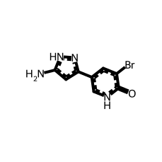 Nc1cc(-c2c[nH]c(=O)c(Br)c2)n[nH]1